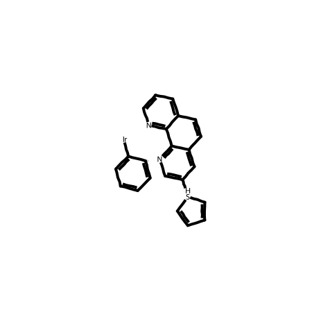 C1=C[SH](c2cnc3c(ccc4cccnc43)c2)C=C1.[Ir][c]1[c]cccc1